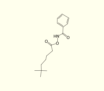 CC(C)(C)CCCCC(=O)ONC(=O)c1ccccc1